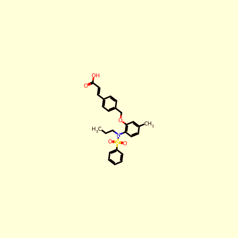 CCCN(c1ccc(C)cc1OCc1ccc(/C=C/C(=O)O)cc1)S(=O)(=O)c1ccccc1